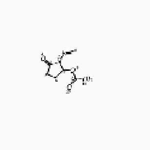 C=CN1C(=O)CCC1OC(=O)O